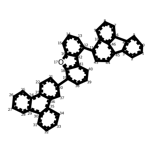 c1ccc2c(c1)-c1cccc3c(-c4cccc5oc6c(-c7ccc8c9ccccc9c9ccccc9c8c7)cccc6c45)ccc-2c13